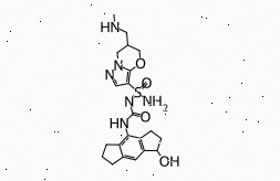 CNCC1COc2c(S(N)(=O)=NC(=O)Nc3c4c(cc5c3CCC5O)CCC4)cnn2C1